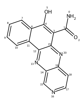 NC(=O)c1c(O)c2ccccc2c2nc3cnccc3nc12